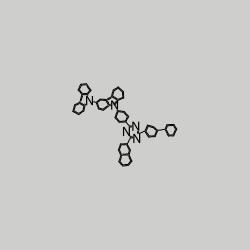 c1ccc(-c2ccc(-c3nc(-c4ccc(-n5c6ccccc6c6cc(-n7c8ccccc8c8ccccc87)ccc65)cc4)nc(-c4ccc5ccccc5c4)n3)cc2)cc1